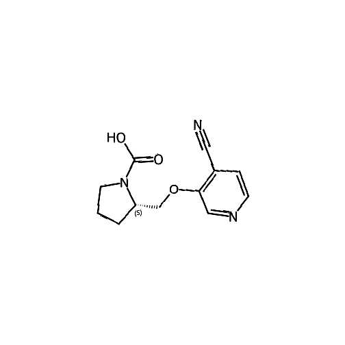 N#Cc1ccncc1OC[C@@H]1CCCN1C(=O)O